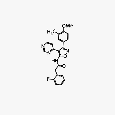 COc1ccc(-c2noc(NC(=O)Cc3ccccc3F)c2-c2ccncn2)cc1C